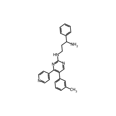 Cc1cccc(-c2cnc(NCCC(N)c3ccccc3)nc2-c2ccncc2)c1